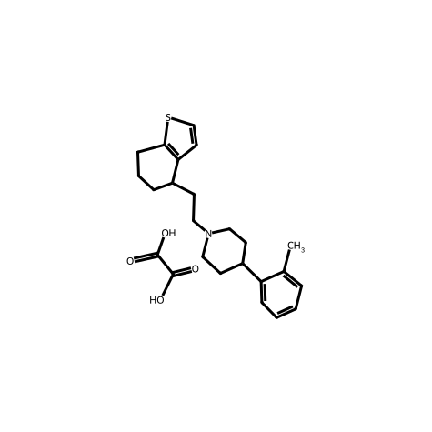 Cc1ccccc1C1CCN(CCC2CCCc3sccc32)CC1.O=C(O)C(=O)O